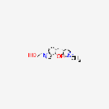 C[n+]1ccc(Cc2ccc3c(ccn3CCO)c2O)cc1